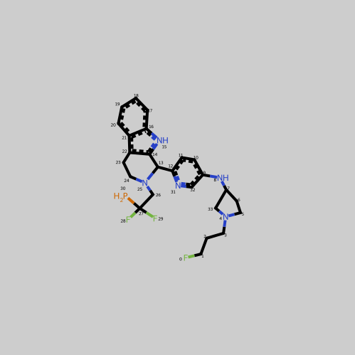 FCCCN1CCC(Nc2ccc(C3c4[nH]c5ccccc5c4CCN3CC(F)(F)P)nc2)C1